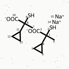 CC(S)(C(=O)[O-])C1CC1.CC(S)(C(=O)[O-])C1CC1.[Na+].[Na+]